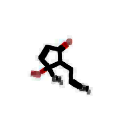 C=CCC1C(=O)C=CC1(C)O